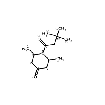 CC1CC(=O)CC(C)N1C(=O)CC(C)(C)C